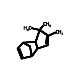 CC1=CC2C3C=CC(C3)C2C1(C)C